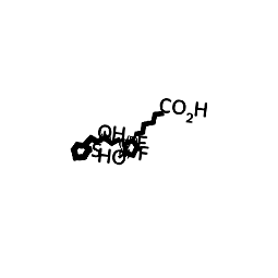 O=C(O)CCCCCC[C@@H]1[C@@H](CC[C@@H](O)c2cc3ccccc3s2)[C@H](O)CC1(F)F